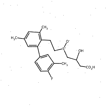 Cc1cc(C)c(CC[S+]([O-])CC(O)CC(=O)O)c(-c2ccc(F)c(C)c2)c1